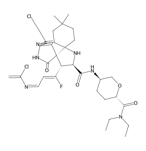 C=C(Cl)/N=C\C=C(/F)[C@H]1[C@H](C(=O)N[C@@H]2CC[C@@H](C(=O)N(CC)CC)OC2)NC2(CCC(C)(C)CC2)[C@@]12C(=O)Nc1nc(Cl)ccc12